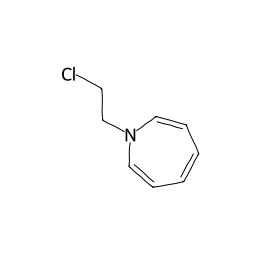 ClCCN1C=CC=CC=C1